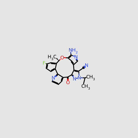 CC(C)n1nc2c(c1C#N)-c1cnc(N)c(c1)O[C@H](C)c1cc(F)ccc1-c1ncccc1C2=O